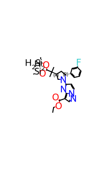 CCOC(=O)c1cnn2ccc(N3C[C@@H](C(C)(C)C(O[SiH2]C)O[SiH2]C)C[C@@H]3c3cccc(F)c3)nc12